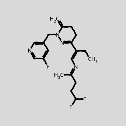 C=C1CCC(/C(=C/N=C(\C)CCC(F)F)CC)=NN1Cc1cncc(F)c1